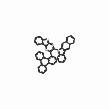 C1=CCC2C=c3c(n(-c4nc5oc6ccccc6c5nc4-c4cccc5c6ccccc6c6ccccc6c45)c4ccccc34)=CC2=C1